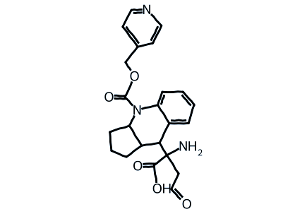 NC(CC=O)(C(=O)O)C1c2ccccc2N(C(=O)OCc2ccncc2)C2CCCC21